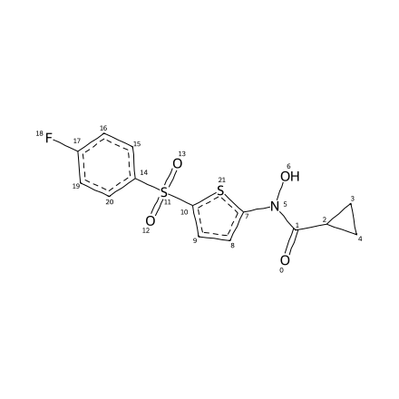 O=C(C1CC1)N(O)c1ccc(S(=O)(=O)c2ccc(F)cc2)s1